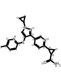 Cc1ccc(Sc2cn(C3CC3)nc2-c2ccc(C3CC3C(N)=O)nc2)nc1